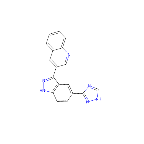 c1ccc2ncc(-c3n[nH]c4ccc(-c5nc[nH]n5)cc34)cc2c1